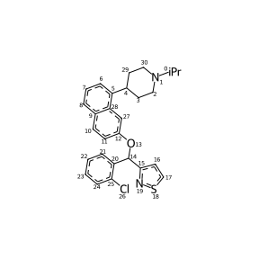 CC(C)N1CCC(c2cccc3ccc(OC(c4ccsn4)c4ccccc4Cl)cc23)CC1